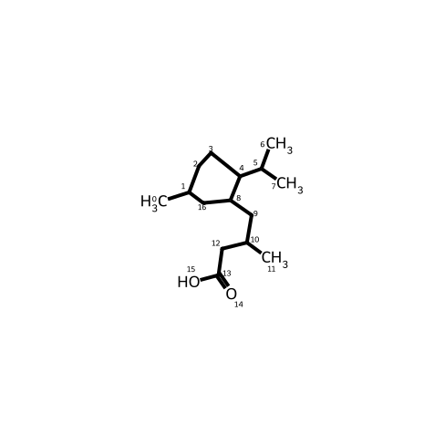 CC1CCC(C(C)C)C(CC(C)CC(=O)O)C1